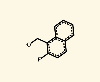 [O]Cc1c(F)ccc2ccccc12